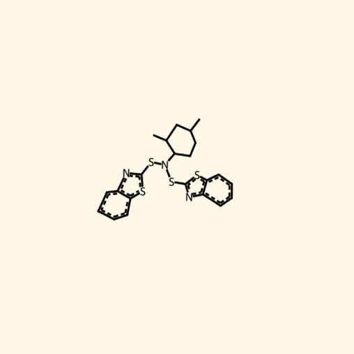 CC1CCC(N(Sc2nc3ccccc3s2)Sc2nc3ccccc3s2)C(C)C1